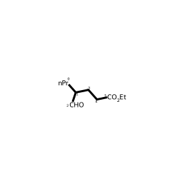 CCCC(C=O)CCC(=O)OCC